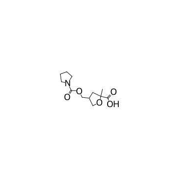 CC1(C(=O)O)CC(COC(=O)N2CCCC2)CO1